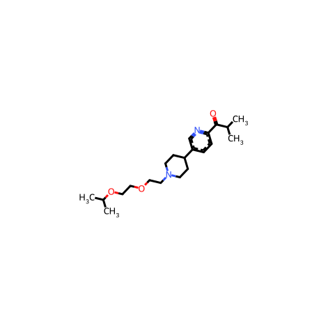 CC(C)OCCOCCN1CCC(c2ccc(C(=O)C(C)C)nc2)CC1